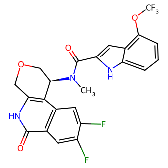 CN(C(=O)c1cc2c(OC(F)(F)F)cccc2[nH]1)[C@@H]1COCc2[nH]c(=O)c3cc(F)c(F)cc3c21